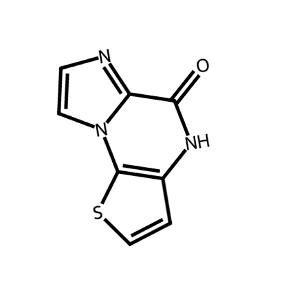 O=c1[nH]c2ccsc2n2ccnc12